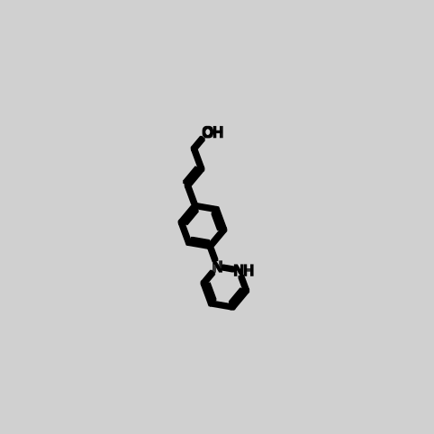 OCC=Cc1ccc(N2C=CC=CN2)cc1